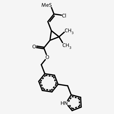 CSC(Cl)=CC1C(C(=O)OCc2cccc(Cc3ccc[nH]3)c2)C1(C)C